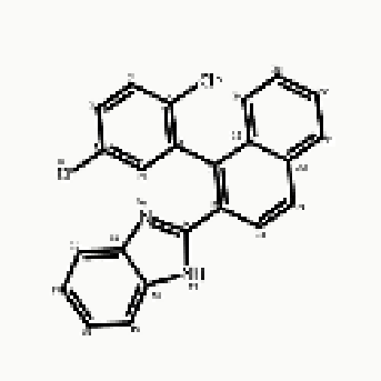 Clc1ccc(Cl)c(-c2c(-c3nc4ccccc4[nH]3)ccc3ccccc23)c1